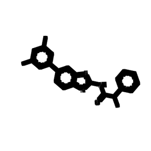 Cc1cc(C)cc(-c2ccc3nc(NC(=O)C(C)c4ccccc4)sc3c2)c1